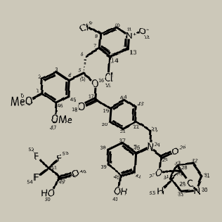 COc1ccc([C@H](Cc2c(Cl)c[n+]([O-])cc2Cl)OC(=O)c2ccc(CN(C(=O)O[C@H]3CN4CCC3CC4)c3cccc(O)c3)cc2)cc1OC.O=C(O)C(F)(F)F